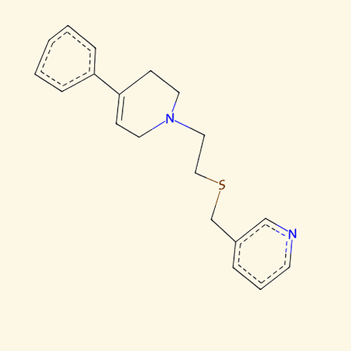 C1=C(c2ccccc2)CCN(CCSCc2cccnc2)C1